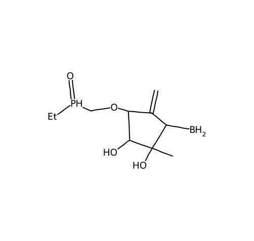 BC1C(=C)C(OC[PH](=O)CC)C(O)C1(C)O